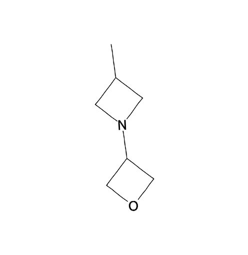 CC1CN(C2COC2)C1